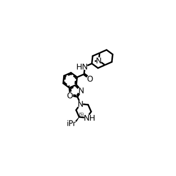 CC(C)[C@H]1CN(c2nc3c(C(=O)NC4CC5CCCC(C4)N5C)cccc3o2)CCN1